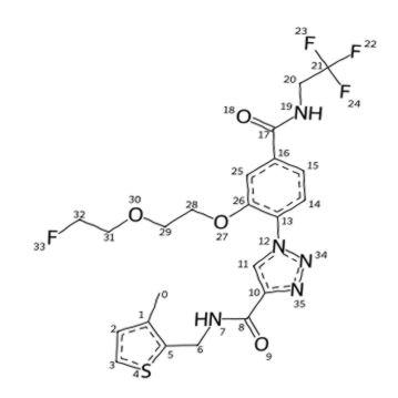 Cc1ccsc1CNC(=O)c1cn(-c2ccc(C(=O)NCC(F)(F)F)cc2OCCOCCF)nn1